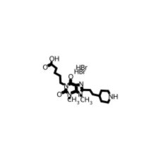 Br.Br.Cn1c(CCC2CCNCC2)nc2c(=O)n(CCCCC(=O)O)c(=O)n(C)c21